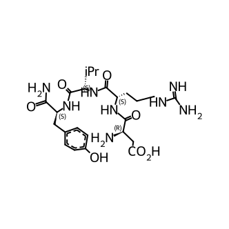 CC(C)[C@H](NC(=O)[C@H](CCCNC(=N)N)NC(=O)[C@H](N)CC(=O)O)C(=O)N[C@@H](Cc1ccc(O)cc1)C(N)=O